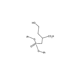 CC(C)OP(=O)(CC(CCO)C(=O)O)OC(C)C